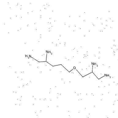 NCC(N)CCCOCC(N)CN